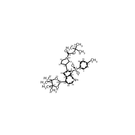 Cc1ccc(S(=O)(=O)n2c(C3CCN(C(=O)OC(C)(C)C)C3)cc3c(B4OC(C)(C)C(C)(C)O4)ccnc32)cc1